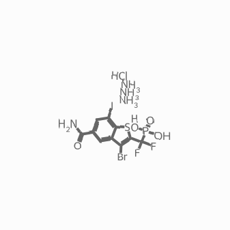 Cl.N.N.N.NC(=O)c1cc(I)c2sc(C(F)(F)P(=O)(O)O)c(Br)c2c1